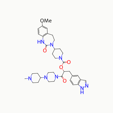 COc1ccc2c(c1)CCN(C1CCN(C(=O)OC(Cc3ccc4[nH]ncc4c3)C(=O)N3CCN(C4CCN(C)CC4)CC3)CC1)C(=O)N2